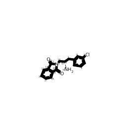 N[C@@H](Cc1cccc(Cl)c1)CN1C(=O)c2ccccc2C1=O